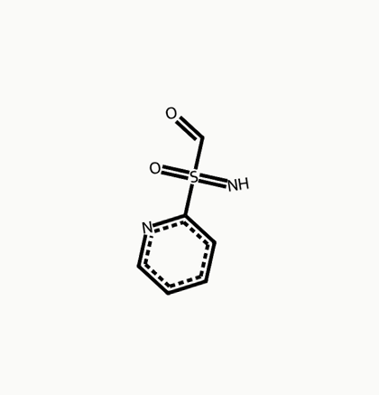 N=S(=O)(C=O)c1ccccn1